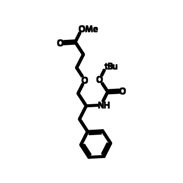 COC(=O)CCOCC(Cc1ccccc1)NC(=O)OC(C)(C)C